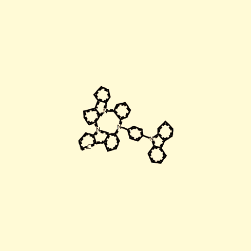 c1ccc2c(c1)c1ccccc1n2-c1ccc(-n2c3ccccc3n3c4ccccc4c4cccc(c43)n3c4ccccc4c4cccc2c43)cc1